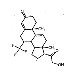 C[C@]12CCC(=O)C=C1CC(C(F)(F)F)C1C2=CC[C@@]2(C)C1CC[C@@H]2C(=O)CO